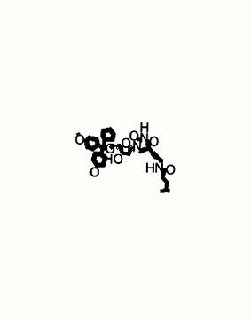 COc1ccc(C(OC[C@H]2O[C@@H](n3cc(C#CCNC(=O)CCC(C)C)c(=O)[nH]c3=O)CC2O)(c2ccccc2)c2ccc(OC)cc2)cc1